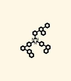 c1ccc(-c2ccc(-c3cccc(-c4nc(-c5ccc(-c6ccccc6-c6ccc7ccccc7c6)cc5)nc(-c5ccc(-c6cccc7ccccc67)cc5)n4)c3)c3ccccc23)cc1